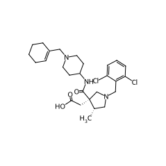 C[C@H]1CN(Cc2c(Cl)cccc2Cl)C[C@]1(CC(=O)O)C(=O)NC1CCN(CC2=CCCCC2)CC1